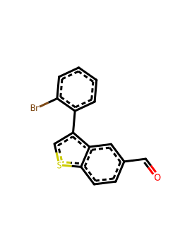 O=Cc1ccc2scc(-c3ccccc3Br)c2c1